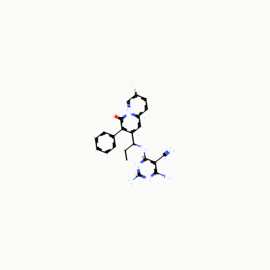 CCC(Nc1nc(N)nc(N)c1C#N)c1cc2ccc(F)cn2c(=O)c1-c1ccccc1